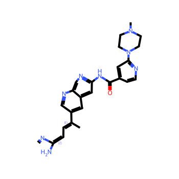 C=N/C(N)=C\C=C(/C)c1cnc2cnc(NC(=O)c3ccnc(N4CCN(C)CC4)c3)cc2c1